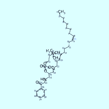 CCCCCCCC/C=C\CCCCCCCCOCC(CNCC(=O)c1ccccc1)OP(=O)([O-])OCC[N+](C)(C)C